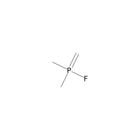 C=P(C)(C)F